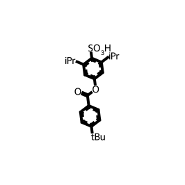 CC(C)c1cc(OC(=O)c2ccc(C(C)(C)C)cc2)cc(C(C)C)c1S(=O)(=O)O